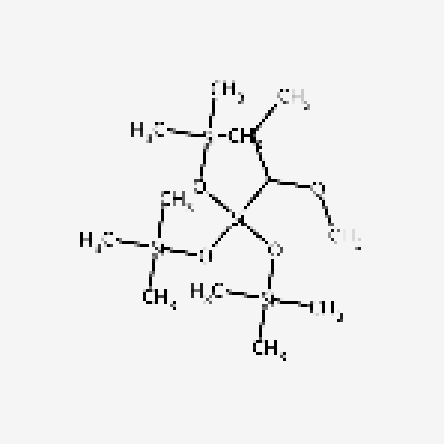 CCC(OC)[Si](O[Si](C)(C)C)(O[Si](C)(C)C)O[Si](C)(C)C